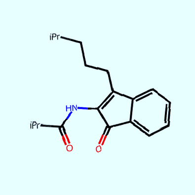 CC(C)CCCC1=C(NC(=O)C(C)C)C(=O)c2ccccc21